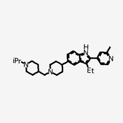 CCc1c(-c2ccnc(C)c2)[nH]c2ccc(C3CCN(CC4CCN(C(C)C)CC4)CC3)cc12